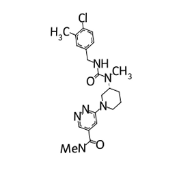 CNC(=O)c1cnnc(N2CCC[C@@H](N(C)C(=O)NCc3ccc(Cl)c(C)c3)C2)c1